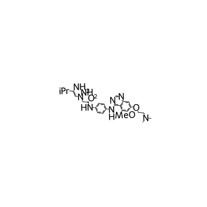 COc1cc(OCCN(C)C)cc2ncnc(Nc3ccc(NC(=O)CN(N)/C=C(\N)C(C)C)cc3)c12